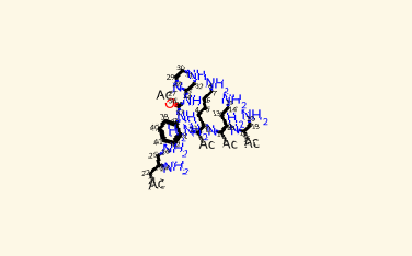 CC(=O)C(N)CCCCCN.CC(=O)C(N)CCCN.CC(=O)C(N)CN.CC(=O)CC(N)CN.CC(=O)N1CCNCC1NC(=O)Nc1ccccc1